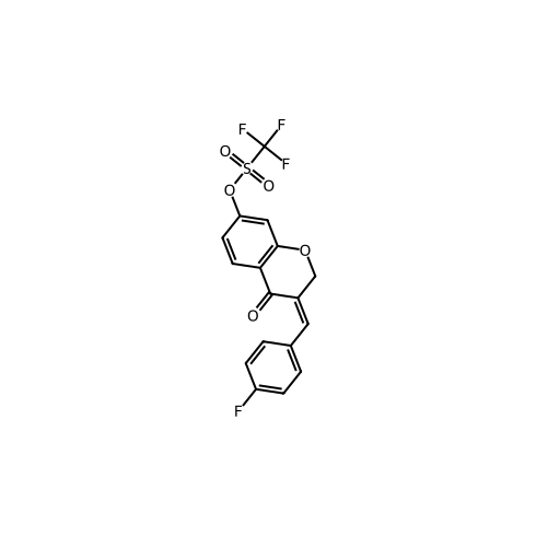 O=C1C(=Cc2ccc(F)cc2)COc2cc(OS(=O)(=O)C(F)(F)F)ccc21